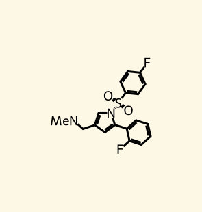 CNCc1cc(-c2ccccc2F)n(S(=O)(=O)c2ccc(F)cc2)c1